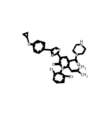 CCc1cccc(CC)c1-n1c(C=C(C)C)c(C(=O)N2CCNCC2)cc(-c2nc(-c3ccc(OC4CC4)cc3)cs2)c1=O